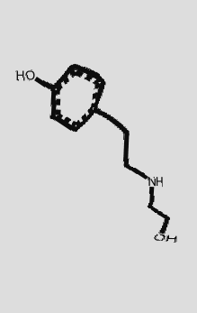 OCCNCCc1ccc(O)cc1